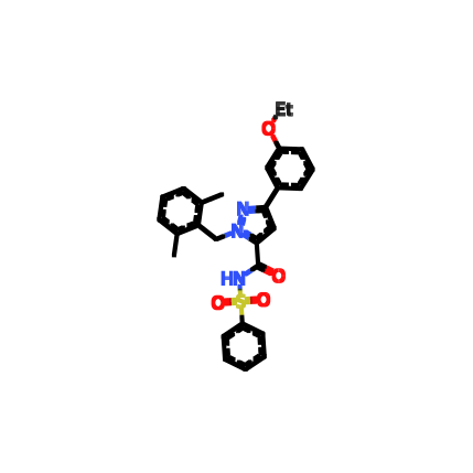 CCOc1cccc(-c2cc(C(=O)NS(=O)(=O)c3ccccc3)n(Cc3c(C)cccc3C)n2)c1